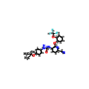 CC(C)(C)Oc1ccc(NC(=O)Nc2ccc(C#N)nc2Oc2ccccc2OC(F)(F)F)cc1